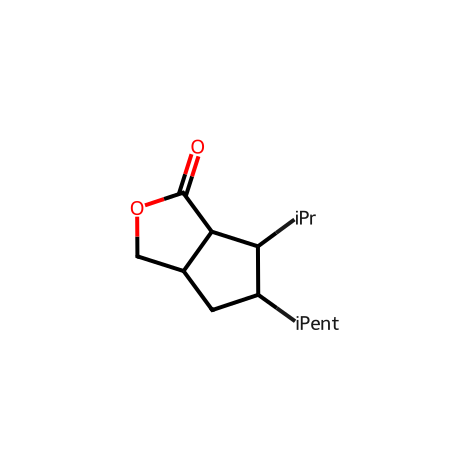 CCCC(C)C1CC2COC(=O)C2C1C(C)C